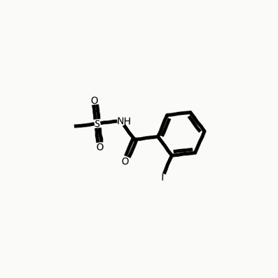 CS(=O)(=O)NC(=O)c1ccccc1I